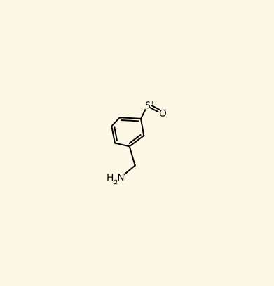 NCc1cccc([S+]=O)c1